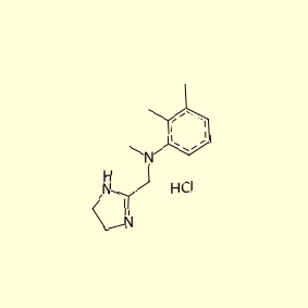 Cc1cccc(N(C)CC2=NCCN2)c1C.Cl